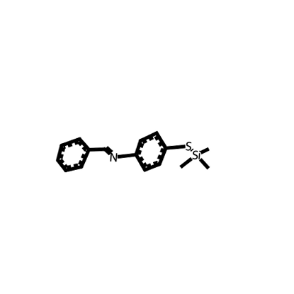 C[Si](C)(C)Sc1ccc(N=Cc2ccccc2)cc1